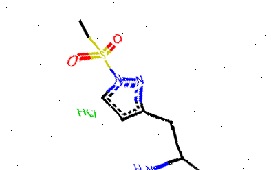 CS(=O)(=O)n1ccc(CC(N)C(=O)O)n1.Cl